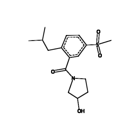 CC(C)Cc1ccc(S(C)(=O)=O)cc1C(=O)N1CCC(O)C1